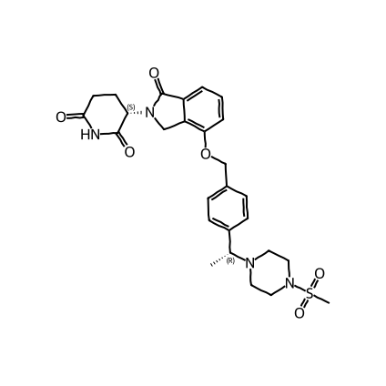 C[C@H](c1ccc(COc2cccc3c2CN([C@H]2CCC(=O)NC2=O)C3=O)cc1)N1CCN(S(C)(=O)=O)CC1